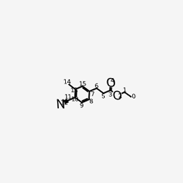 CCOC(=O)CCc1ccc(C#N)c(C)c1